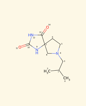 CC(C)CN1CCC2(C1)NC(=O)NC2=O